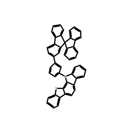 c1cc(-c2ccc3c(c2)C2(c4ccccc4-c4ccccc42)c2ccccc2-3)cc(-n2c3ccccc3c3ccc4c5ccccc5sc4c32)c1